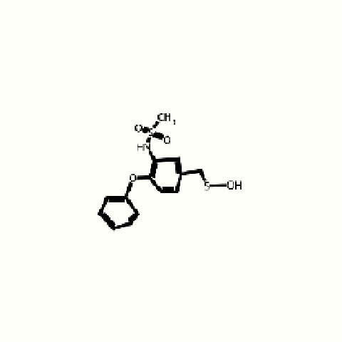 CS(=O)(=O)Nc1cc(CSO)ccc1Oc1ccccc1